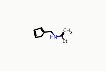 C=C(CC)NCC1=CC=CC1